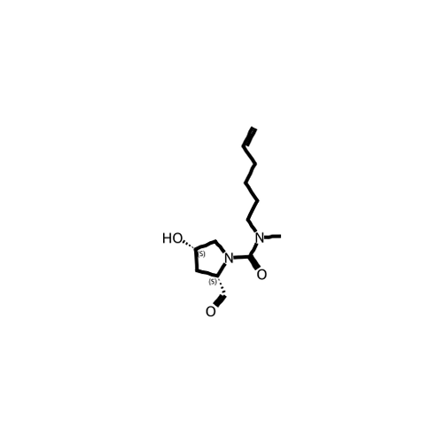 C=CCCCCN(C)C(=O)N1C[C@@H](O)C[C@H]1C=O